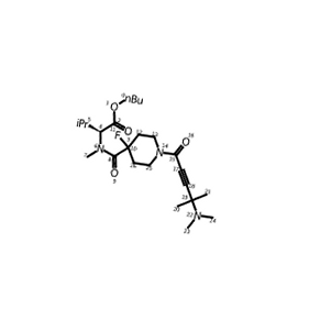 CCCCOC(=O)[C@H](C(C)C)N(C)C(=O)C1(F)CCN(C(=O)C#CC(C)(C)N(C)C)CC1